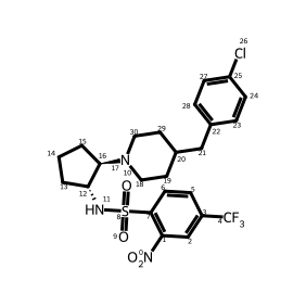 O=[N+]([O-])c1cc(C(F)(F)F)ccc1S(=O)(=O)N[C@@H]1CCC[C@H]1N1CCC(Cc2ccc(Cl)cc2)CC1